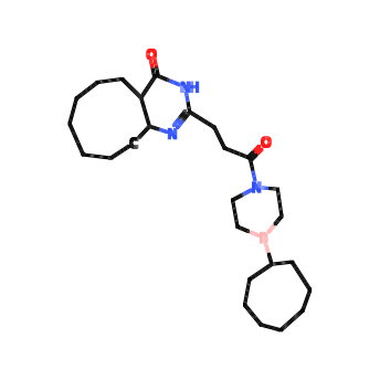 O=C1NC(CCC(=O)N2CCB(C3CCCCCCC3)CC2)=NC2CCCCCCCC12